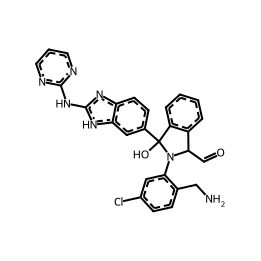 NCc1ccc(Cl)cc1N1C(C=O)c2ccccc2C1(O)c1ccc2nc(Nc3ncccn3)[nH]c2c1